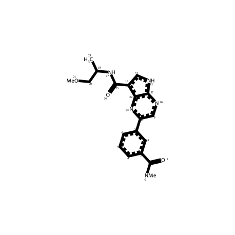 CNC(=O)c1cccc(-c2cnc3[nH]cc(C(=O)NC(C)COC)c3n2)c1